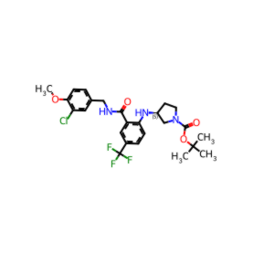 COc1ccc(CNC(=O)c2cc(C(F)(F)F)ccc2N[C@H]2CCN(C(=O)OC(C)(C)C)C2)cc1Cl